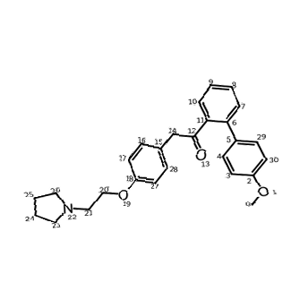 COc1ccc(-c2ccccc2C(=O)Cc2ccc(OCCN3CCCC3)cc2)cc1